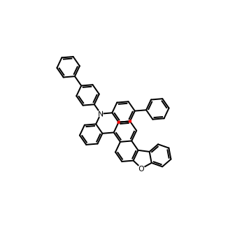 c1ccc(-c2ccc(N(c3ccc(-c4ccccc4)cc3)c3ccccc3-c3cccc4c3ccc3oc5ccccc5c34)cc2)cc1